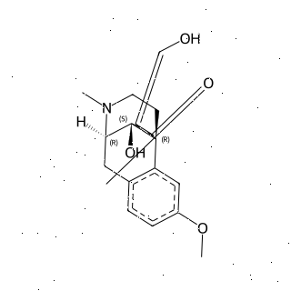 COc1ccc2c(c1)[C@]13CCN(C)[C@H](C2)[C@]1(O)CC(=CO)C(=O)C3